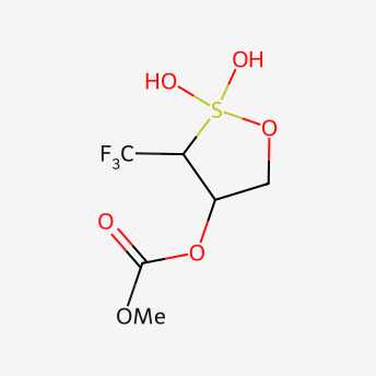 COC(=O)OC1COS(O)(O)C1C(F)(F)F